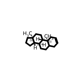 C[C@@]12CCC[C@H]1[C@@H]1CCC3CC=CC[C@]3(C)[C@H]1CC2